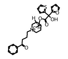 O=C(CCC[N+]12CCC(CC1)[C@@H](OC(=O)C(O)(c1ccco1)c1cccs1)C2)c1ccccc1